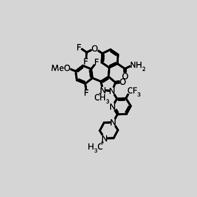 COc1cc(F)c(-c2c(-c3cc(OC(F)F)ccc3C(N)=O)c(=O)n(-c3nc(N4CCN(C)CC4)ccc3C(F)(F)F)n2C)c(F)c1